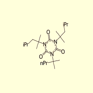 CCCC(C)(C)n1c(=O)n(C(C)(C)CC(C)C)c(=O)n(C(C)(C)CC(C)C)c1=O